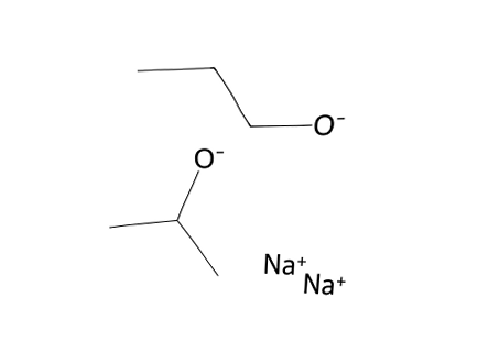 CC(C)[O-].CCC[O-].[Na+].[Na+]